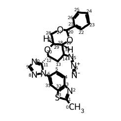 Cc1nc2ccc(-n3ncnc3[C@H]3CC(N=[N+]=[N-])[C@H]4OC(c5ccccc5)OC[C@H]4O3)cc2s1